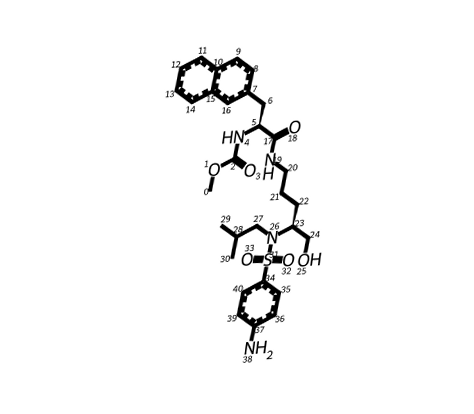 COC(=O)N[C@@H](Cc1ccc2ccccc2c1)C(=O)NCCC[C@@H](CO)N(CC(C)C)S(=O)(=O)c1ccc(N)cc1